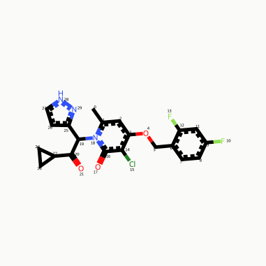 Cc1cc(OCc2ccc(F)cc2F)c(Cl)c(=O)n1C(C(=O)C1CC1)c1cc[nH]n1